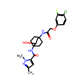 Cc1cc(C(=O)NC23CCC(NC(=O)COc4ccc(Cl)c(F)c4)(CC2)CC3O)n(C)n1